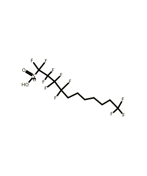 O=S(=O)(O)C(F)(F)C(F)(F)C(F)(F)C(F)(F)CCCCCCC(F)(F)F